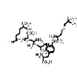 CC(C)C(N)C(=O)O.CC(N)C(=O)O.NC(CSSCC(N)C(=O)O)C(=O)O.NC(Cc1ccc(O)cc1)C(=O)O.NCC(=O)O.NCCCCC(N)C(=O)O